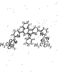 CC1(C)CN=C(c2cccc(-c3ccc4c5c6ccccc6c(-c6cccc(C7=NCC(C)(C)O7)n6)cc5n(-c5ccccc5)c4c3)n2)O1